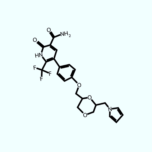 NC(=O)c1cc(-c2ccc(OCC3COCC(Cn4cccc4)O3)cc2)c(C(F)(F)F)[nH]c1=O